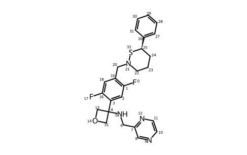 Fc1cc(C2(NCc3cnccn3)COC2)c(F)cc1CN1CCC[C@H](c2ccccc2)S1